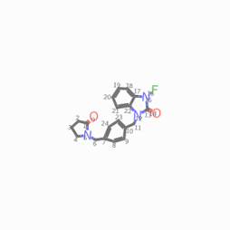 O=C1CCCN1Cc1ccc(Cn2c(=O)n(F)c3ccccc32)cc1